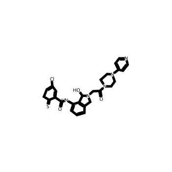 O=C(Nc1cccc2c1C(O)N(CC(=O)N1CCN(c3ccncc3)CC1)C2)C1=CC(Cl)=CCC1=S